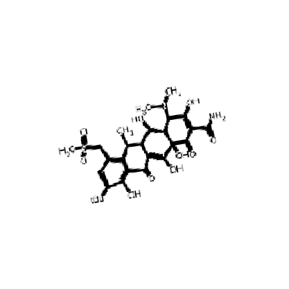 CC1c2c(CS(C)(=O)=O)cc(C(C)(C)C)c(O)c2C(=O)C2=C(O)C3(O)C(=O)C(C(N)=O)=C(O)C(N(C)C)C3C(O)C21